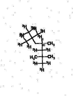 [2H]C([2H])([2H])C(C)(C)C([2H])([2H])[C@](C)(F)CC(C([2H])([2H])[2H])(C([2H])([2H])[2H])C([2H])([2H])[2H]